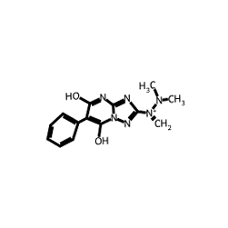 C=[N+](c1nc2nc(O)c(-c3ccccc3)c(O)n2n1)N(C)C